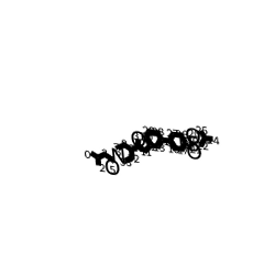 CC(C)CC(=O)N1CCC(C2Cc3cc(C4=CCN(S(=O)(=O)CC(C)C)CC4)ccc3O2)CC1